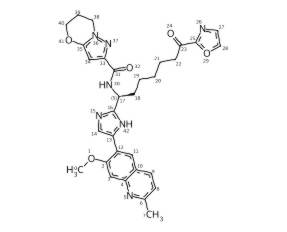 COc1cc2nc(C)ccc2cc1-c1cnc([C@H](CCCCCC(=O)c2ncco2)NC(=O)c2cc3n(n2)CCCO3)[nH]1